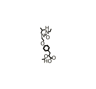 CCNC(=O)N(CCOc1ccc(CC(OCC)C(=O)O)cc1)CC(C)C